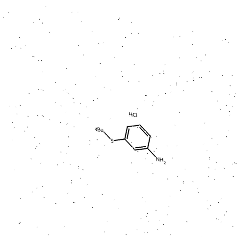 CC(C)(C)Sc1cccc(N)c1.Cl